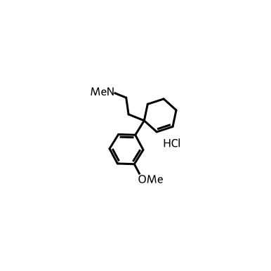 CNCCC1(c2cccc(OC)c2)C=CCCC1.Cl